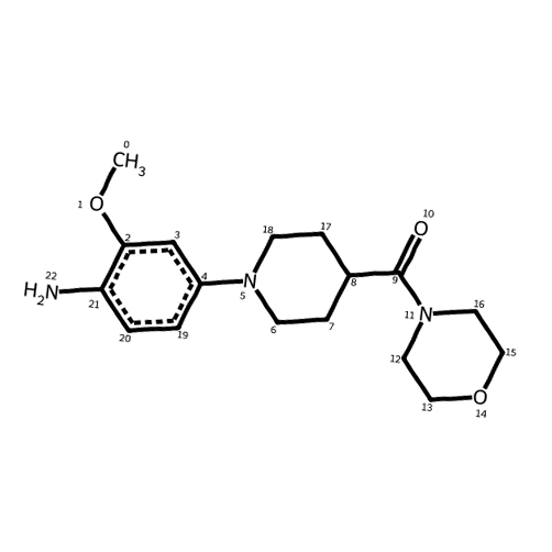 COc1cc(N2CCC(C(=O)N3CCOCC3)CC2)ccc1N